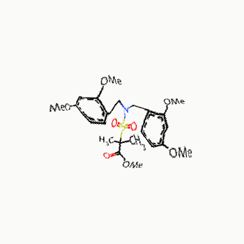 COC(=O)C(C)(C)S(=O)(=O)N(Cc1ccc(OC)cc1OC)Cc1ccc(OC)cc1OC